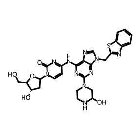 O=c1nc(Nc2nc(N3CCNC(O)C3)nc3c2ncn3Cc2nc3ccccc3s2)ccn1C1C[C@H](O)[C@@H](CO)O1